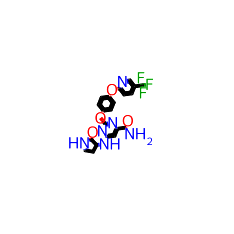 NC(=O)c1cc(NC2CCNC2=O)nc(Oc2ccc(Oc3ccc(C(F)(F)F)cn3)cc2)n1